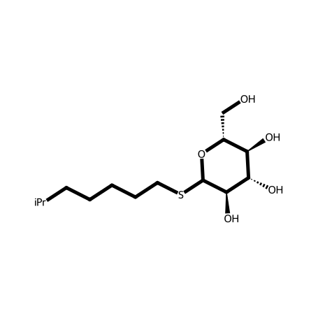 CC(C)CCCCCSC1O[C@H](CO)[C@@H](O)[C@H](O)[C@H]1O